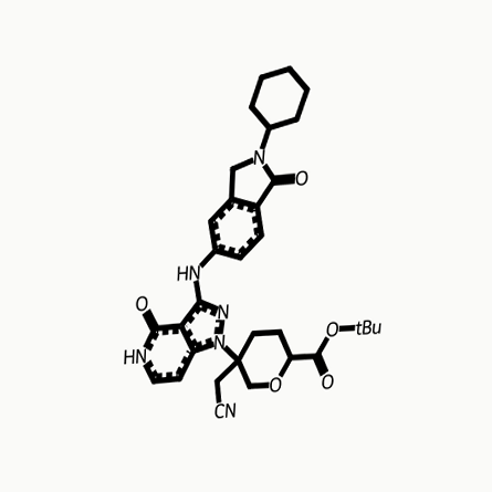 CC(C)(C)OC(=O)C1CCC(CC#N)(n2nc(Nc3ccc4c(c3)CN(C3CCCCC3)C4=O)c3c(=O)[nH]ccc32)CO1